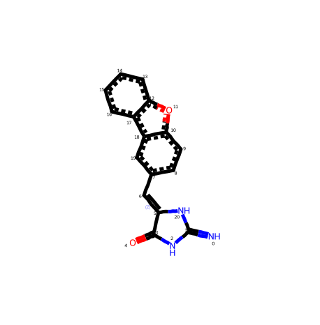 N=C1NC(=O)/C(=C/c2ccc3oc4ccccc4c3c2)N1